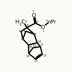 CCCOC(=O)C1(C)CC2CC1C1C3C=CC(C3)C21